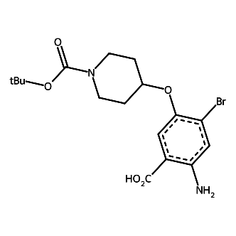 CC(C)(C)OC(=O)N1CCC(Oc2cc(C(=O)O)c(N)cc2Br)CC1